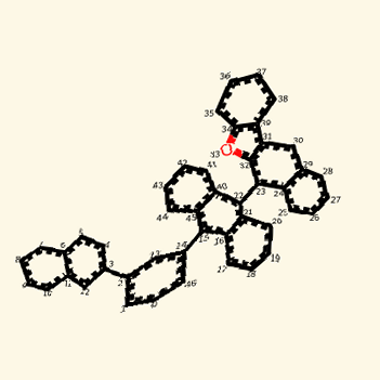 c1cc(-c2ccc3ccccc3c2)cc(-c2c3ccccc3c(-c3c4ccccc4cc4c3oc3ccccc34)c3ccccc23)c1